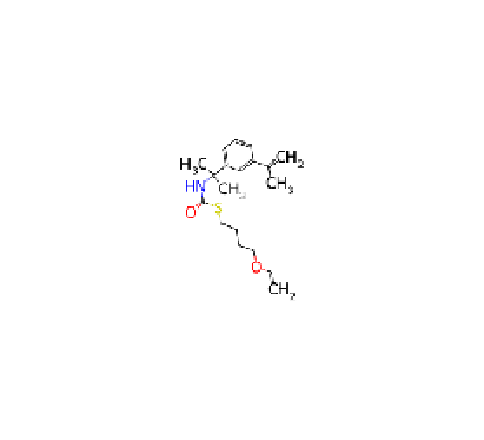 C=COCCCCSC(=O)NC(C)(C)c1cccc(C(=C)C)c1